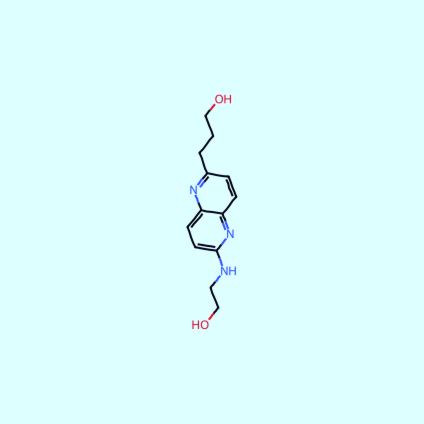 OCCCc1ccc2nc(NCCO)ccc2n1